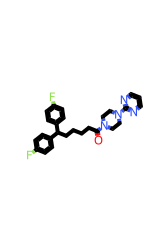 O=C(CCCCC(c1ccc(F)cc1)c1ccc(F)cc1)N1CCN(c2ncccn2)CC1